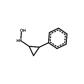 ONC1CC1c1ccccc1